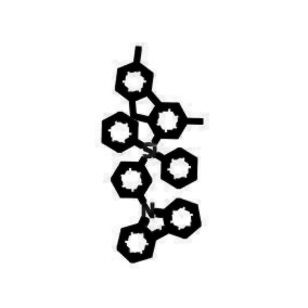 Cc1ccc2c(c1)-c1cc(C)cc([Si](c3ccccc3)(c3ccccc3)c3cccc(-n4c5ccccc5c5ccccc54)c3)c1C2